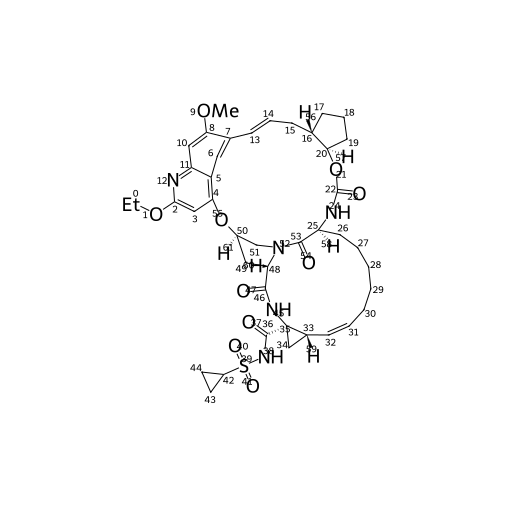 CCOc1cc2c3cc(c(OC)cc3n1)/C=C/C[C@@H]1CCC[C@H]1OC(=O)N[C@H]1CCCCC/C=C\[C@@H]3C[C@@]3(C(=O)NS(=O)(=O)C3CC3)NC(=O)[C@@H]3C[C@H](CN3C1=O)O2